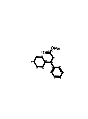 COC(=O)CC(c1ccccc1)C1CCCCC1